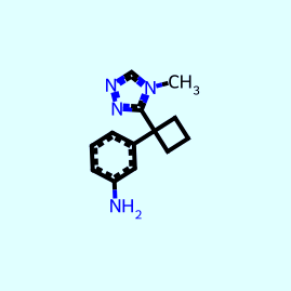 Cn1cnnc1C1(c2cccc(N)c2)CCC1